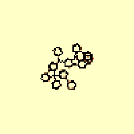 c1ccc(-c2cccc(C3(c4ccccc4)c4ccccc4-c4ccc(N(c5ccccc5)c5ccc6c7ccc8ccccc8c7n(-c7ccccc7-c7ccccc7)c6c5)cc43)c2)cc1